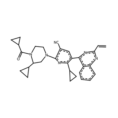 C=Cc1nc(-c2cc(C#N)c(N3CCN(C(=O)C4CC4)C(C4CC4)C3)nc2C2CC2)c2ccccc2n1